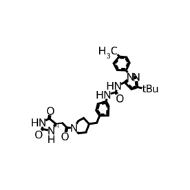 Cc1ccc(-n2nc(C(C)(C)C)cc2NC(=O)Nc2ccc(CC3CCN(C(=O)C[C@H]4NC(=O)NC4=O)CC3)cc2)cc1